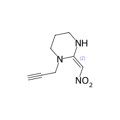 C#CCN1CCCN/C1=C/[N+](=O)[O-]